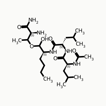 CCCC[C@H](NC(=O)[C@H](CC(C)C)NC(=O)[C@H](CC(C)C)NC(C)=O)C(O)OC(C)[C@H](N)C(N)=O